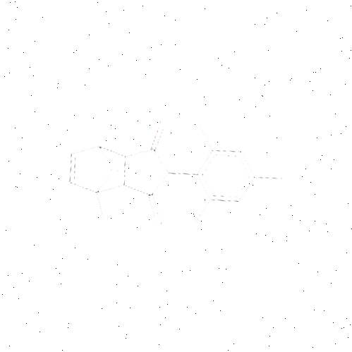 [CH2]C12C=CC(O1)C1C(=O)C(c3c(C)cc(C)cc3C)C(=O)C12